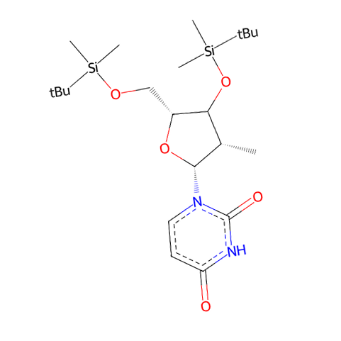 C[C@H]1C(O[Si](C)(C)C(C)(C)C)[C@@H](CO[Si](C)(C)C(C)(C)C)O[C@H]1n1ccc(=O)[nH]c1=O